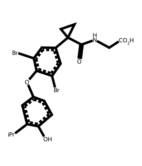 CC(C)c1cc(Oc2c(Br)cc(C3(C(=O)NCC(=O)O)CC3)cc2Br)ccc1O